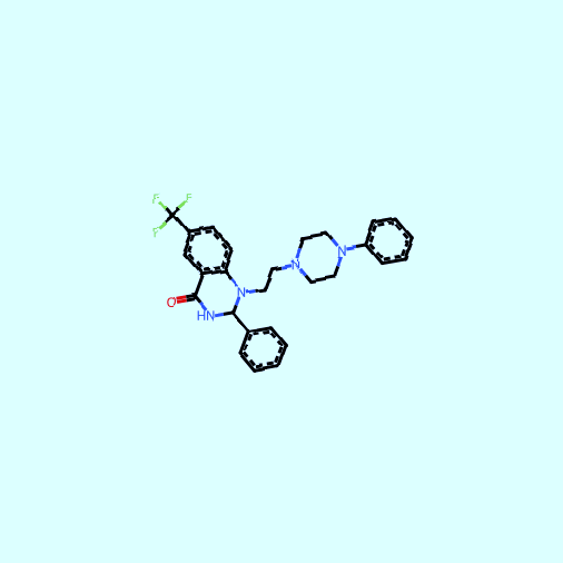 O=C1NC(c2ccccc2)N(CCN2CCN(c3ccccc3)CC2)c2ccc(C(F)(F)F)cc21